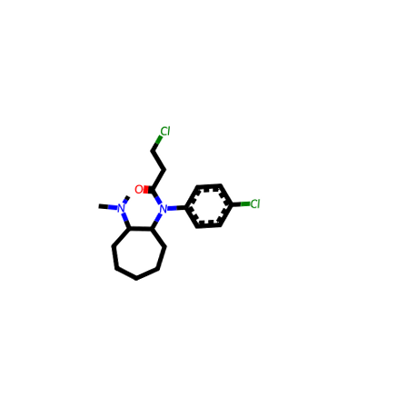 CN(C)C1CCCCCC1N(C(=O)CCCl)c1ccc(Cl)cc1